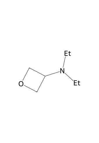 CCN(CC)C1COC1